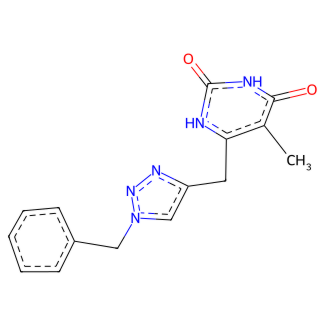 Cc1c(Cc2cn(Cc3ccccc3)nn2)[nH]c(=O)[nH]c1=O